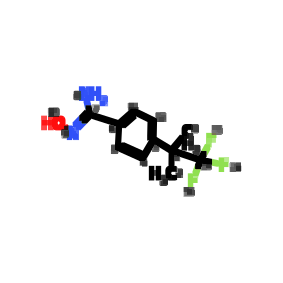 CC(C)(c1ccc(/C(N)=N/O)cc1)C(F)(F)F